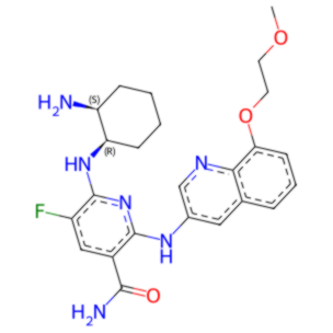 COCCOc1cccc2cc(Nc3nc(N[C@@H]4CCCC[C@@H]4N)c(F)cc3C(N)=O)cnc12